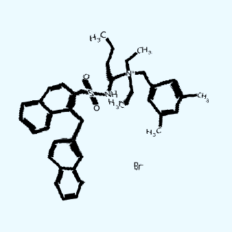 CCCC(NS(=O)(=O)c1ccc2ccccc2c1Cc1ccc2ccccc2c1)[N+](CC)(CC)Cc1cc(C)cc(C)c1.[Br-]